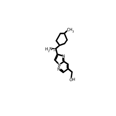 CC1CCC([C@H](N)c2cn3ncc(CO)cc3n2)CC1